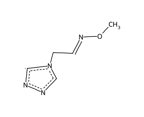 CON=CCn1[c]nnc1